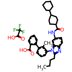 CCCCc1nc2ccc(NC(=O)C3CCC(C4CCCCC4)CC3)cc2n1-c1cccc(-c2ccccc2C(=O)O)c1C.O=C(O)C(F)(F)F